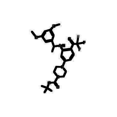 COc1cc(OC)cc(C(C)[AsH]c2cc(N3CCN(C(=O)OC(C)(C)C)CC3)ccc2C(=O)C(F)(F)F)c1